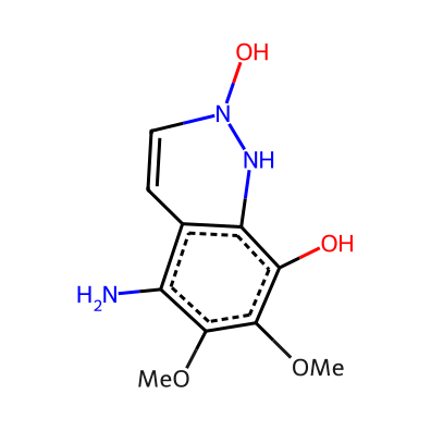 COc1c(N)c2c(c(O)c1OC)NN(O)C=C2